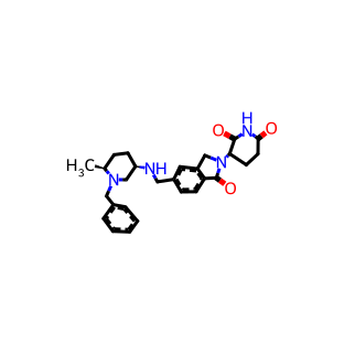 C[C@H]1CC[C@@H](NCc2ccc3c(c2)CN(C2CCC(=O)NC2=O)C3=O)CN1Cc1ccccc1